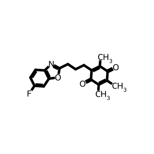 CC1=C(C)C(=O)C(CCCc2nc3ccc(F)cc3o2)=C(C)C1=O